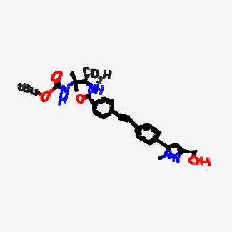 Cn1nc(CO)cc1-c1ccc(C#Cc2ccc(C(=O)N[C@H](C(=O)O)C(C)(C)NC(=O)OC(C)(C)C)cc2)cc1